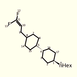 CCCCCC[C@H]1CC[C@H](C2CCC(CC=C(F)F)CC2)CC1